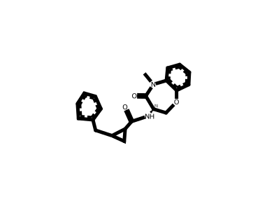 CN1C(=O)[C@@H](NC(=O)C2CC2Cc2ccccc2)COc2ccccc21